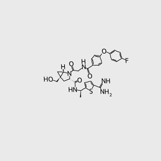 C[C@@H](NC(=O)[C@@H]1C[C@]2(CO)C[C@@H]2N1C(=O)CNC(=O)c1ccc(Oc2ccc(F)cc2)cc1)c1ccc(C(=N)N)s1